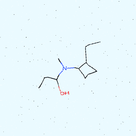 CCC1CCC1N(C)C(O)CC